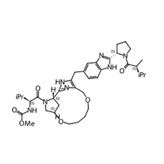 COC(=O)N[C@H](C(=O)N1C[C@@H]2C[C@H]1c1nc(c(Cc3ccc4[nH]c([C@@H]5CCCN5C(=O)[C@@H](C)C(C)C)nc4c3)[nH]1)COCCCCO2)C(C)C